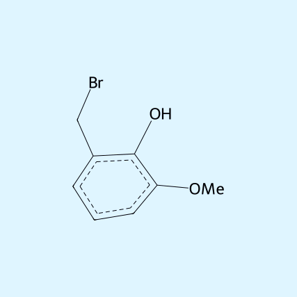 COc1cccc(CBr)c1O